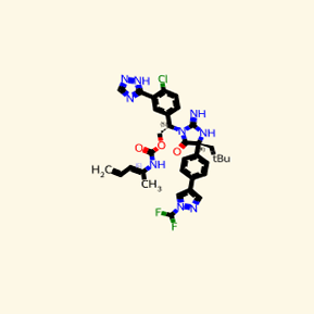 C=C/C=C(\C)NC(=O)OC[C@H](c1ccc(Cl)c(-c2ncn[nH]2)c1)N1C(=N)N[C@](CC(C)(C)C)(c2ccc(-c3cnn(C(F)F)c3)cc2)C1=O